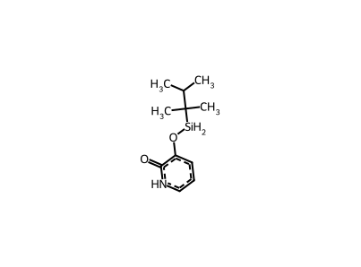 CC(C)C(C)(C)[SiH2]Oc1ccc[nH]c1=O